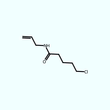 C=CCNC(=O)CCCCCl